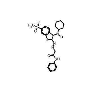 CCN(C1CCCCC1)N1c2ccc(S(C)(=O)=O)cc2SC1N=NCC(=O)Nc1ccccc1